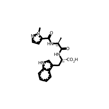 C[C@H](NC(=O)c1ccnn1C)C(=O)N[C@@H](Cc1c[nH]c2ccccc12)C(=O)O